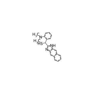 CN(C)c1ccccc1C(S)c1nc2cc3ccccc3cc2[nH]1